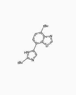 CC(C)(C)c1ncc(-c2ccc(C(C)(C)C)c3ncoc23)[nH]1